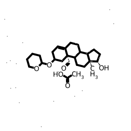 CC(=O)O.C[C@]12CCC3C(CCC4=CCC(OC5CCCCO5)C[C@@]43C=O)C1CC[C@@H]2O